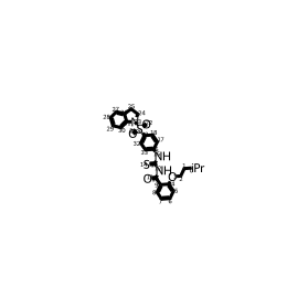 CC(C)CCOc1ccccc1C(=O)NC(=S)Nc1ccc(S(=O)(=O)N2CCc3ccccc32)cc1